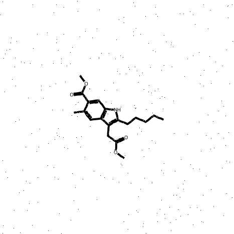 CCCCCc1[nH]c2cc(C(=O)OC)c(C)cc2c1CC(=O)OC